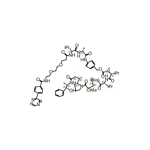 CC[C@H](C)[C@@H]([C@@H](CC(=O)N1CCC[C@H]1[C@H](C)[C@@H](C)C(=O)N[C@H](C)[C@@H](O)c1ccccc1)OC)N(C)C(=O)[C@@H](NC(=O)[C@H](C(C)C)N(C)C(=O)OCc1ccc(NC(=O)[C@H](C)NC(=O)[C@@H](NC(=O)CCOCCOCCNC(=O)c2ccc(-c3nncnn3)cc2)C(C)C)cc1)C(C)C